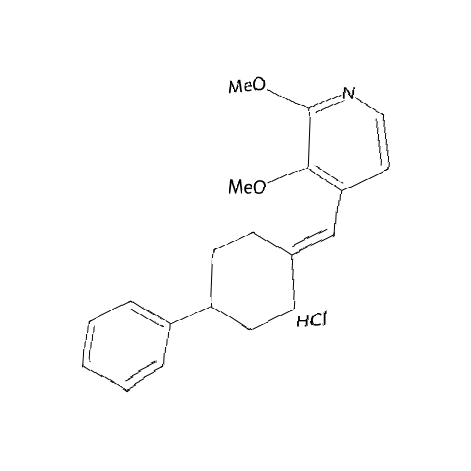 COc1nccc(C=C2CCC(c3ccccc3)CC2)c1OC.Cl